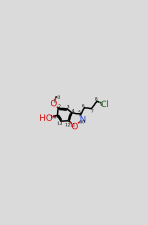 COc1cc2c(CCCCl)noc2cc1O